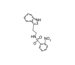 O=[N+]([O-])c1ccccc1S(=O)(=O)NCCc1c[nH]c2ccccc12